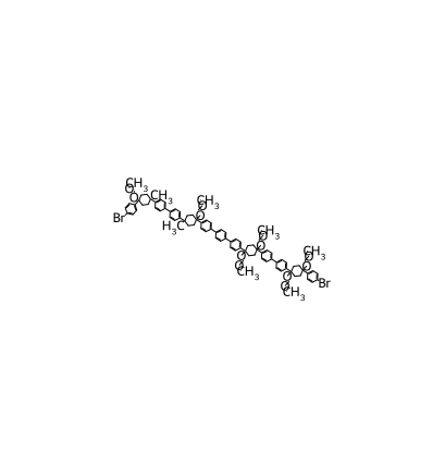 COCOC1(c2ccc(Br)cc2)CCC(C)(c2ccc(-c3ccc(C4(C)CCC(OCOC)(c5ccc(-c6ccc(-c7ccc(C8(OCOC)CCC(OCOC)(c9ccc(-c%10ccc(C%11(OCOC)CCC(OCOC)(c%12ccc(Br)cc%12)CC%11)cc%10)cc9)CC8)cc7)cc6)cc5)CC4)cc3)cc2)CC1